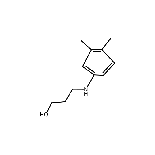 Cc1ccc(NCCCO)cc1C